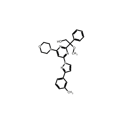 COC(CO)(c1ccccc1)c1nc(N2CCOCC2)cc(-n2ccc(-c3cccc(C)c3)n2)n1